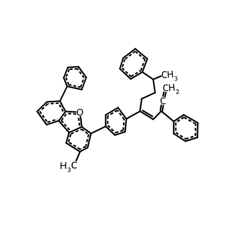 C=C=C(/C=C(\CCC(C)c1ccccc1)c1ccc(-c2cc(C)cc3c2oc2c(-c4ccccc4)cccc23)cc1)c1ccccc1